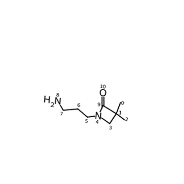 CC1(C)CN(CCCN)C1=O